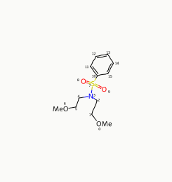 COCCN(CCOC)S(=O)(=O)c1ccccc1